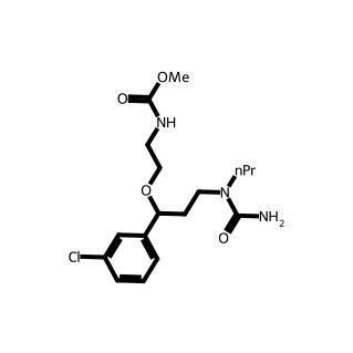 CCCN(CCC(OCCNC(=O)OC)c1cccc(Cl)c1)C(N)=O